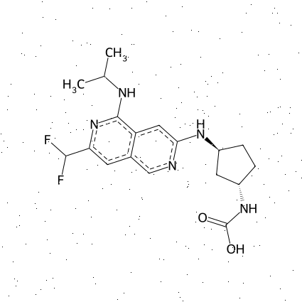 CC(C)Nc1nc(C(F)F)cc2cnc(N[C@H]3CC[C@H](NC(=O)O)C3)cc12